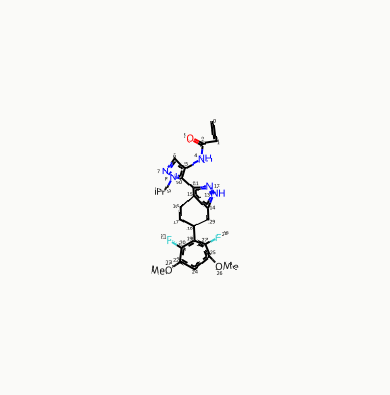 C=CC(=O)Nc1cnn(C(C)C)c1-c1n[nH]c2c1CCC(c1c(F)c(OC)cc(OC)c1F)C2